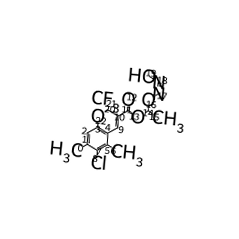 Cc1cc2c(c(C)c1Cl)C=C(C(=O)OC(C)O/N=N\O)[C@@H](C(F)(F)F)O2